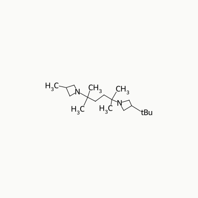 CC1CN(C(C)(C)CCC(C)(C)N2CC(C(C)(C)C)C2)C1